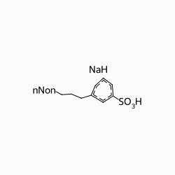 CCCCCCCCCCCCc1cccc(S(=O)(=O)O)c1.[NaH]